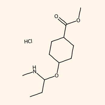 CCC(NC)OC1CCC(C(=O)OC)CC1.Cl